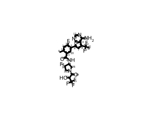 Cc1cc(F)c(-c2cc(C(F)(F)F)c3c(N)ncnn23)cc1C(=O)N[C@@H]1CN(C(=O)C(O)C(F)(F)F)C[C@@H]1F